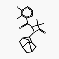 Cc1c(F)cccc1C(=O)N1N(C2C3CC4CC(C3)CC2C4)C(=O)C1(C)C